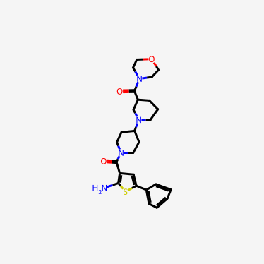 Nc1sc(-c2ccccc2)cc1C(=O)N1CCC(N2CCCC(C(=O)N3CCOCC3)C2)CC1